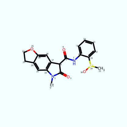 CCN1C(=O)C(C(=O)Nc2ccccc2[S+](C)[O-])c2cc3c(cc21)CCO3